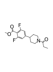 CCC(=O)N1CCC(c2cc(F)c(C(=O)OC)c(F)c2)CC1